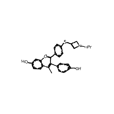 CCCN1CC(Sc2ccc(C3Oc4cc(O)ccc4C(C)=C3c3ccc(O)cc3)cc2)C1